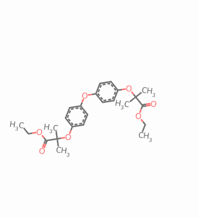 CCOC(=O)C(C)(C)Oc1ccc(Oc2ccc(OC(C)(C)C(=O)OCC)cc2)cc1